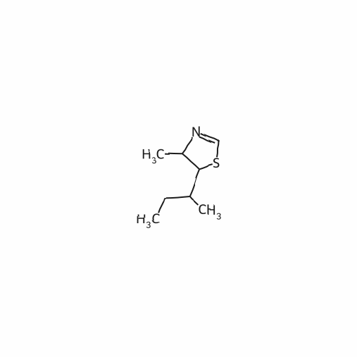 CCC(C)C1SC=NC1C